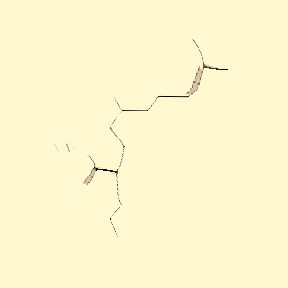 CCCC(CCC(C)CCC=C(C)C)C(=O)O